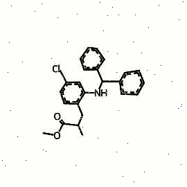 COC(=O)C(C)Cc1ccc(Cl)cc1NC(c1ccccc1)c1ccccc1